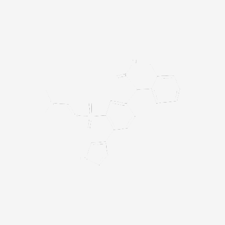 CN(C)/C=N/S(=O)(=O)c1cc(C(C(N)=O)c2ccccc2Cl)ccc1-c1cc[nH]c1